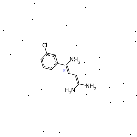 NC(N)=C/C=C(\N)c1cccc(Cl)c1